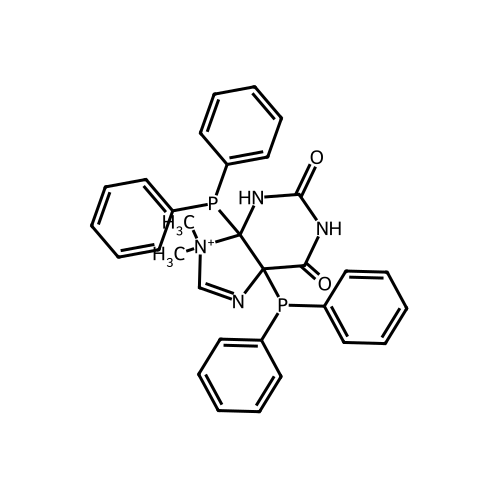 C[N+]1(C)C=NC2(P(c3ccccc3)c3ccccc3)C(=O)NC(=O)NC21P(c1ccccc1)c1ccccc1